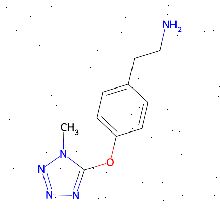 Cn1nnnc1Oc1ccc(CCN)cc1